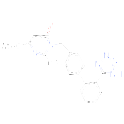 CCCCc1nc(OC)cc(=O)n1Cc1ccc(-c2ccccc2-c2nnn[nH]2)cc1